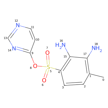 Cc1ccc(S(=O)(=O)Oc2ccncn2)c(N)c1N